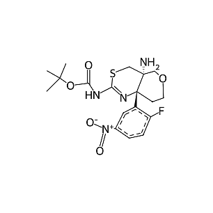 CC(C)(C)OC(=O)NC1=N[C@@]2(c3cc([N+](=O)[O-])ccc3F)CCOC[C@]2(N)CS1